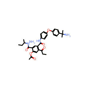 CCC(=O)c1cc(OC(C)=O)c(C(=O)N(N)C(C)CC)cc1C(=O)Nc1ccc(Oc2ccc(C(C)(C)N)cc2)cc1